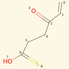 C=CC(=O)CCC(O)=S